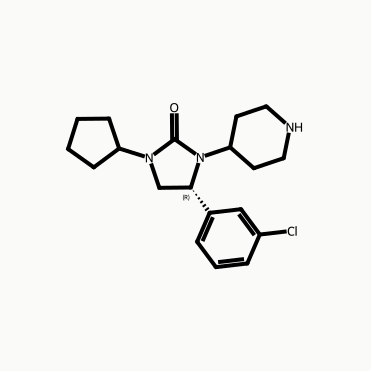 O=C1N(C2CCCC2)C[C@@H](c2cccc(Cl)c2)N1C1CCNCC1